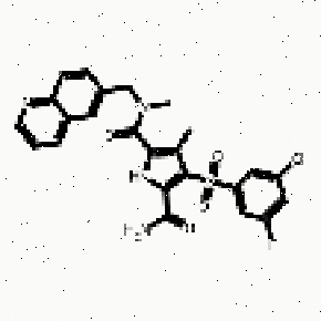 Cc1c(C(=O)N(C)Cc2ccc3ncccc3c2)[nH]c(C(N)=O)c1S(=O)(=O)c1cc(F)cc(Cl)c1